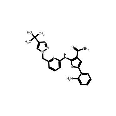 CC(C)(O)c1cn(Cc2cccc(Nc3sc(-c4ccccc4N)cc3C(N)=O)n2)nn1